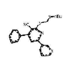 CCCCSCSc1nc(-c2cccnc2)cc(-c2ccccc2)c1C#N